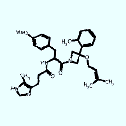 COc1ccc(CC(NC(=O)CCc2nc[nH]c2C)C(=O)N2CC(OCC=C(C)C)(c3ccccc3C)C2)cc1